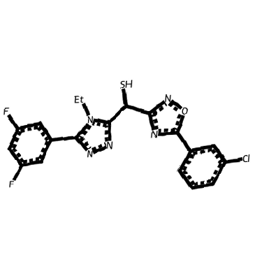 CCn1c(-c2cc(F)cc(F)c2)nnc1C(S)c1noc(-c2cccc(Cl)c2)n1